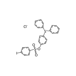 O=S(=O)(Oc1ccc([S+](c2ccccc2)c2ccccc2)cc1)c1ccc(I)cc1.[Cl-]